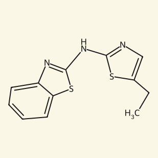 CCc1cnc(Nc2nc3ccccc3s2)s1